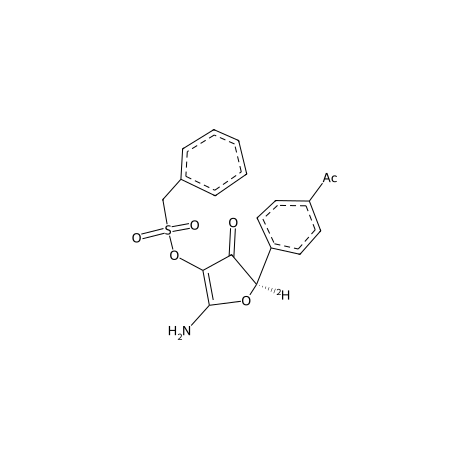 [2H][C@]1(c2ccc(C(C)=O)cc2)OC(N)=C(OS(=O)(=O)Cc2ccccc2)C1=O